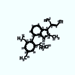 CC/C=C(\CCC)c1c2cccc(-c3c(C)cc(C)cc3C)c2nn1C.Cl